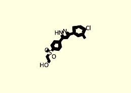 Cc1cc(-c2cc(-c3ccc(S(=O)(=O)CCO)cc3)[nH]n2)ccc1Cl